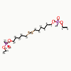 CCOP(C)(=O)OCCCCCCSSCCCCCOP(C)(=O)OCC